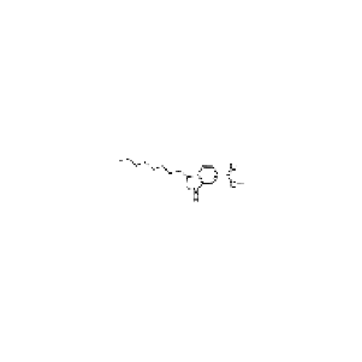 CCCCCCCCC1CNc2cc(C(=O)OC)ccc21